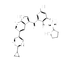 Cc1cc(NS(=O)(=O)C2CCCN2)c(F)c(C(=O)c2c[nH]c3ncc(-c4cnc(C5CC5)nc4)cc23)c1